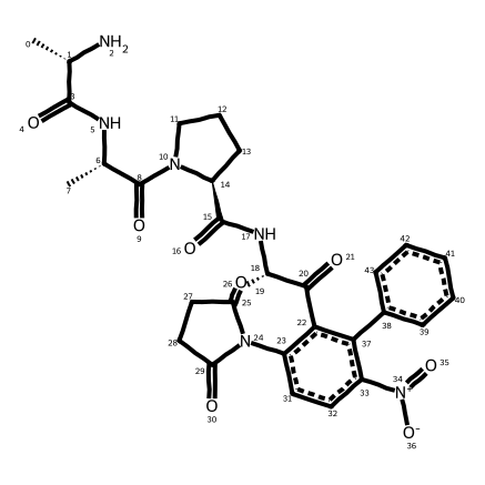 C[C@H](N)C(=O)N[C@@H](C)C(=O)N1CCC[C@H]1C(=O)N[C@@H](C)C(=O)c1c(N2C(=O)CCC2=O)ccc([N+](=O)[O-])c1-c1ccccc1